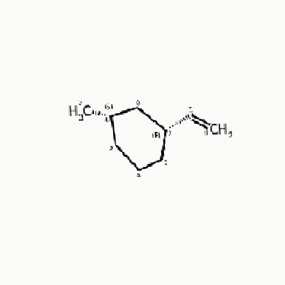 C=C[C@@H]1CCC[C@H](C)C1